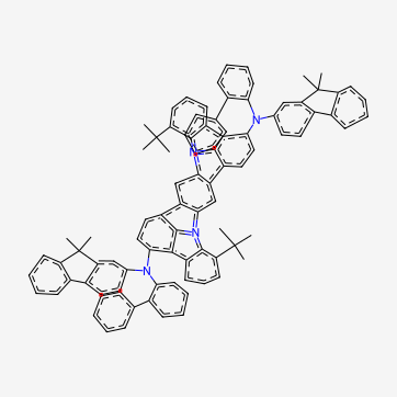 CC(C)(C)c1cccc2c3c(N(c4ccc5c(c4)C(C)(C)c4ccccc4-5)c4ccccc4-c4ccccc4)ccc4c5cc6c(cc5n(c12)c43)c1ccc(N(c2ccc3c(c2)C(C)(C)c2ccccc2-3)c2ccccc2-c2ccccc2)c2c3cccc(C(C)(C)C)c3n6c12